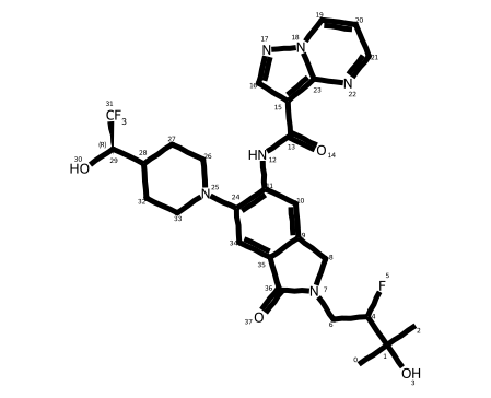 CC(C)(O)C(F)CN1Cc2cc(NC(=O)c3cnn4cccnc34)c(N3CCC([C@@H](O)C(F)(F)F)CC3)cc2C1=O